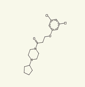 O=C(CCOc1cc(Cl)cc(Cl)c1)N1CCN(C2CCCC2)CC1